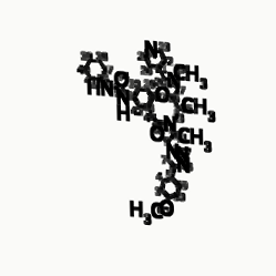 COc1ccc(-c2cn(CC(C)N3C[C@@H](C)[C@H](CN(C)Cc4ccncc4)Oc4ccc(NC(=O)NC5CCCCC5)cc4CC3=O)nn2)cc1